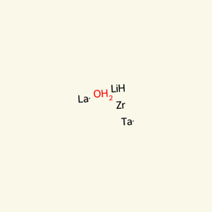 O.[La].[LiH].[Ta].[Zr]